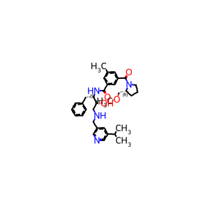 COC[C@H]1CCCN1C(=O)c1cc(C)cc(C(=O)N[C@@H](Cc2ccccc2)[C@H](O)CNCc2cncc(C(C)C)c2)c1